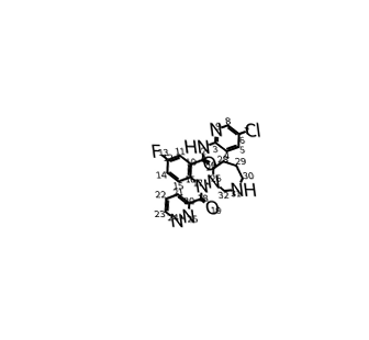 O=C(Nc1ccc(Cl)cn1)c1cc(F)ccc1N(C(=O)c1cccnn1)N1CCCCNC1